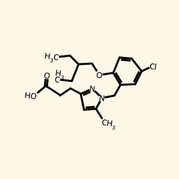 CCC(CC)COc1ccc(Cl)cc1Cn1nc(CCC(=O)O)cc1C